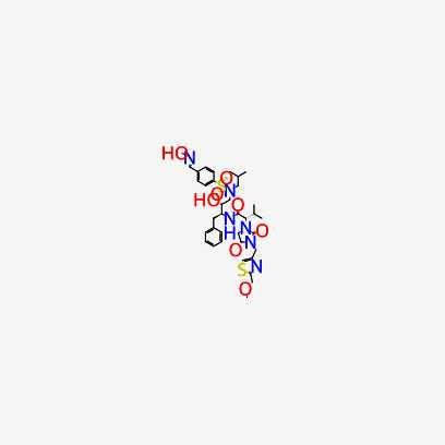 COCc1nc(CN2C(=O)CN([C@H](C(=O)N[C@@H](Cc3ccccc3)[C@@H](O)CN(CC(C)C)S(=O)(=O)c3ccc(C=NO)cc3)C(C)C)C2=O)cs1